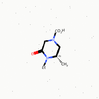 CCN1C(=O)CN(C(=O)O)C[C@@H]1C